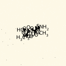 CCOP(=O)(OCC)C(C(=O)NC1C(=O)N(S(=O)(=O)O)C1C(=O)OC)c1csc(N)n1